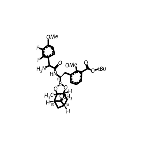 COc1ccc(C(N)C(=O)N[C@@H](Cc2cccc(C(=O)OC(C)(C)C)c2OC)B2O[C@@H]3C[C@@H]4C[C@@H](C4(C)C)[C@]3(C)O2)c(F)c1F